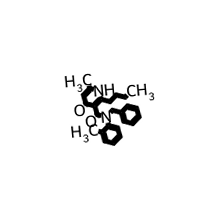 CCCCc1[nH]c(C)cc(=O)c1C(=O)N(Cc1ccccc1)c1ccccc1C